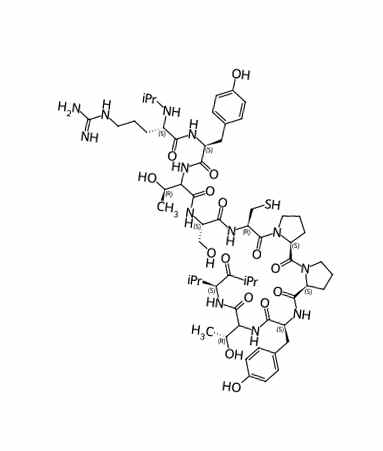 CC(C)N[C@@H](CCCNC(=N)N)C(=O)N[C@@H](Cc1ccc(O)cc1)C(=O)NC(C(=O)N[C@@H](CO)C(=O)N[C@@H](CS)C(=O)N1CCC[C@H]1C(=O)N1CCC[C@H]1C(=O)N[C@@H](Cc1ccc(O)cc1)C(=O)NC(C(=O)N[C@H](C(=O)C(C)C)C(C)C)[C@@H](C)O)[C@@H](C)O